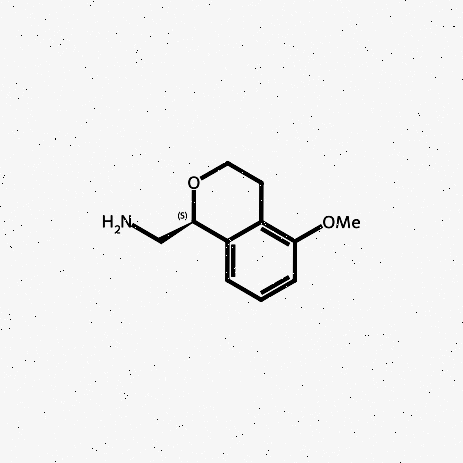 COc1cccc2c1CCO[C@@H]2CN